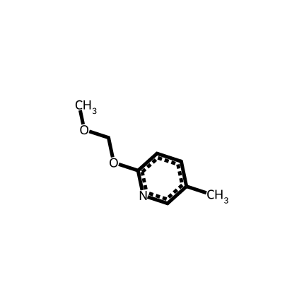 COCOc1ccc(C)cn1